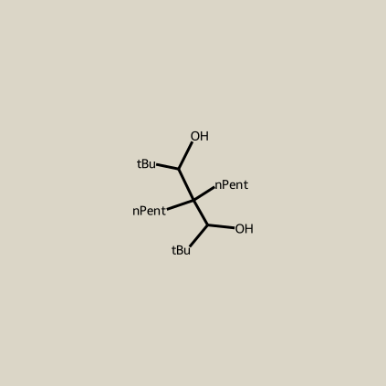 CCCCCC(CCCCC)(C(O)C(C)(C)C)C(O)C(C)(C)C